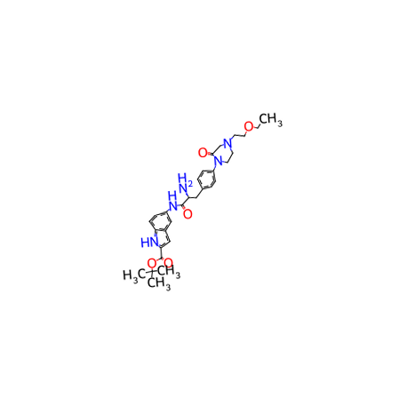 CCOCCN1CCN(c2ccc(C[C@H](N)C(=O)Nc3ccc4[nH]c(C(=O)OC(C)(C)C)cc4c3)cc2)C(=O)C1